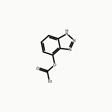 CCC(=O)Oc1cccc2[nH]nnc12